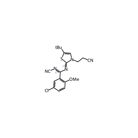 COc1ccc(Cl)cc1C(/N=c1\sc(C(C)(C)C)cn1CCC#N)=N\C#N